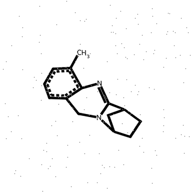 Cc1cccc2c1N=C1C3CCC(C3)N1C2